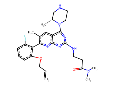 C=CCOc1cccc(F)c1-c1nc2nc(NCCC(=O)N(C)C)nc(N3CCNC[C@H]3C)c2cc1C